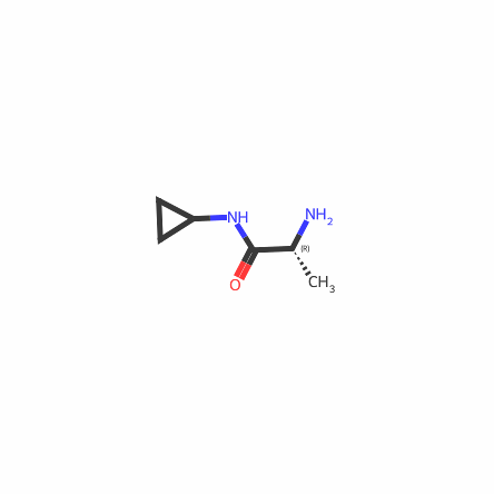 C[C@@H](N)C(=O)NC1CC1